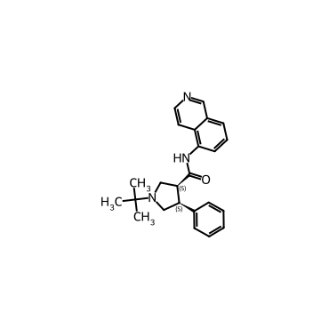 CC(C)(C)N1C[C@H](c2ccccc2)[C@H](C(=O)Nc2cccc3cnccc23)C1